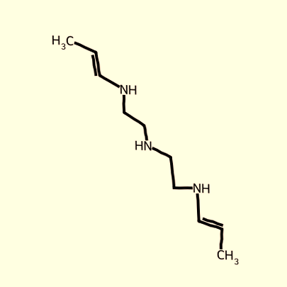 CC=CNCCNCCNC=CC